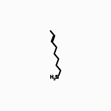 C/C=C/CCCCC[SiH3]